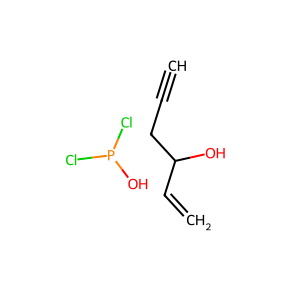 C#CCC(O)C=C.OP(Cl)Cl